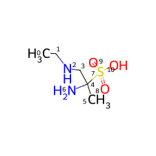 CCNCC(C)(N)S(=O)(=O)O